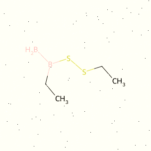 BB(CC)SSCC